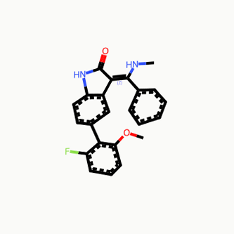 CN/C(=C1\C(=O)Nc2ccc(-c3c(F)cccc3OC)cc21)c1ccccc1